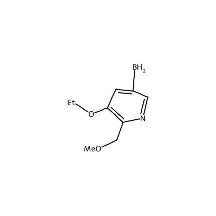 Bc1cnc(COC)c(OCC)c1